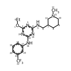 CCOc1nc(NCC2CCCN(C)C2)nc(Nc2cccc(C(F)(F)F)c2)n1